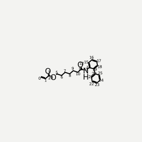 C=CC(=O)OCCCCCCC(=O)Nc1ccccc1-c1ccccc1